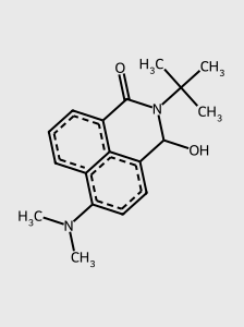 CN(C)c1ccc2c3c(cccc13)C(=O)N(C(C)(C)C)C2O